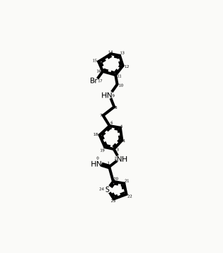 N=C(Nc1ccc(CCNCc2ccccc2Br)cc1)c1cccs1